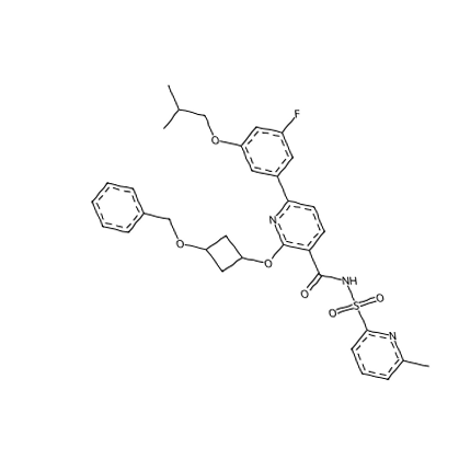 Cc1cccc(S(=O)(=O)NC(=O)c2ccc(-c3cc(F)cc(OCC(C)C)c3)nc2OC2CC(OCc3ccccc3)C2)n1